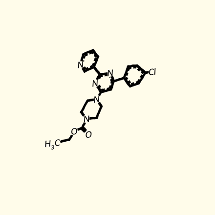 CCOC(=O)N1CCN(c2cc(-c3ccc(Cl)cc3)nc(-c3cccnc3)n2)CC1